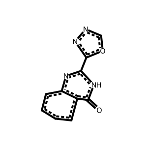 O=c1[nH]c(-c2nnco2)nc2ccccc12